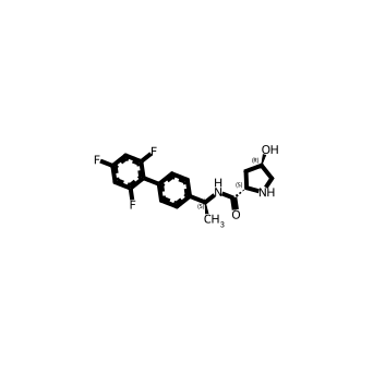 C[C@H](NC(=O)[C@@H]1C[C@@H](O)CN1)c1ccc(-c2c(F)cc(F)cc2F)cc1